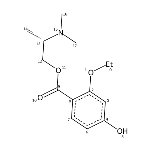 CCOc1cc(O)ccc1C(=O)OC[C@H](C)N(C)C